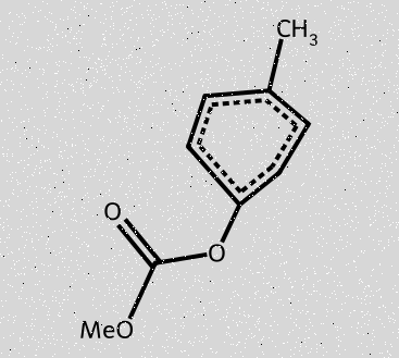 COC(=O)Oc1ccc(C)cc1